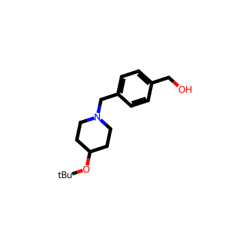 CC(C)(C)OC1CCN(Cc2ccc(CO)cc2)CC1